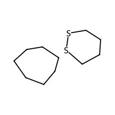 C1CCCCCC1.C1CCSSC1